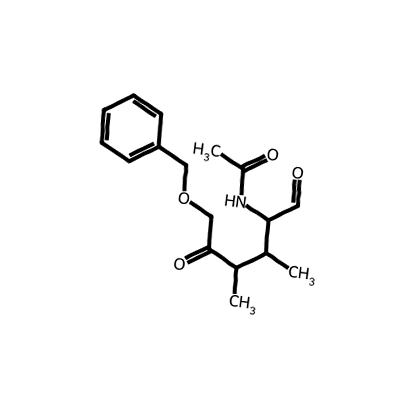 CC(=O)NC(C=O)C(C)C(C)C(=O)COCc1ccccc1